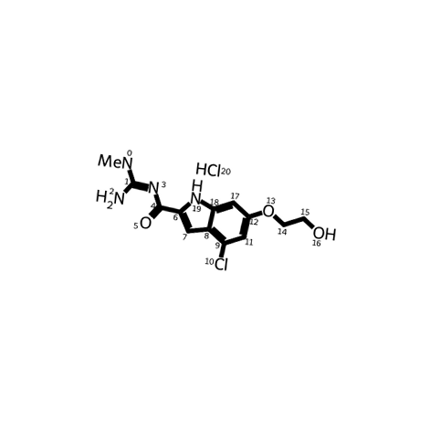 CNC(N)=NC(=O)c1cc2c(Cl)cc(OCCO)cc2[nH]1.Cl